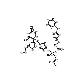 CC(C)=C[C@@H]1[C@@H](C(=O)OCc2coc(Cc3ccccc3)c2)C1(C)C.CCCC1COC(Cn2cncn2)(c2ccc(Cl)cc2Cl)O1